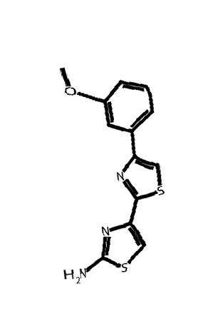 COc1cccc(-c2csc(-c3csc(N)n3)n2)c1